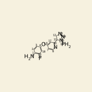 Nc1ccc(Oc2ccnc(C3CN=NN3P)c2)cc1F